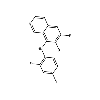 Fc1cc(I)ccc1Nc1c(F)c(F)cc2ccncc12